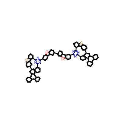 c1ccc(-c2nc(-c3ccc4c(c3)oc3ccc(-c5ccc6c(c5)oc5ccc(-c7nc(-c8ccccc8)nc(-c8cccc9sc%10ccc(-c%11ccc%12c%13ccccc%13c%13ccccc%13c%12c%11)cc%10c89)n7)cc56)cc34)nc(-c3cccc4sc5ccc(-c6ccc7c8ccccc8c8ccccc8c7c6)cc5c34)n2)cc1